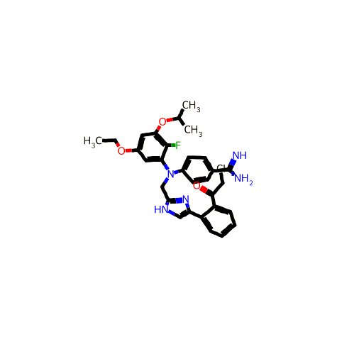 CCOc1cc(OC(C)C)c(F)c(N(Cc2nc(-c3ccccc3C(=O)CC)c[nH]2)c2ccc(C(=N)N)cc2)c1